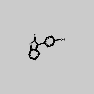 O=C1N=c2ccccc2=C1c1ccc(O)cc1